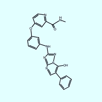 CNC(=O)c1cc(Oc2cccc(Nc3nc4ncc(-c5ccccc5)c(O)n4n3)c2)ccn1